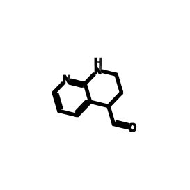 O=CC1CCNc2ncccc21